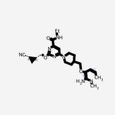 C=N/C(N)=C(\C=C/C)OCC1CCN(c2cc(C(=O)NCC)nc(OC[C@@H]3C[C@@H]3C#N)n2)CC1